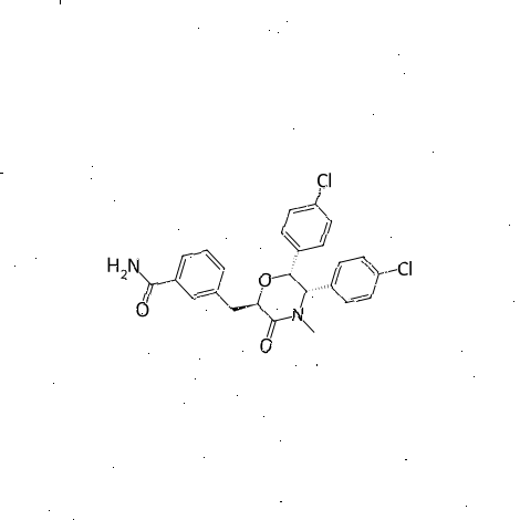 CN1C(=O)[C@@H](Cc2cccc(C(N)=O)c2)O[C@H](c2ccc(Cl)cc2)[C@@H]1c1ccc(Cl)cc1